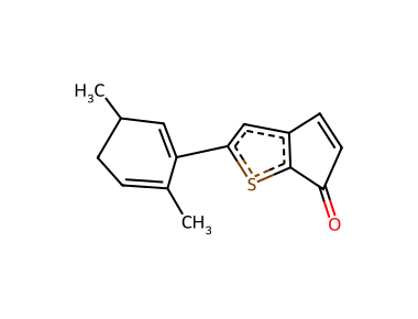 CC1=CCC(C)C=C1c1cc2c(s1)C(=O)C=C2